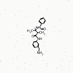 C/C(=N/N(C=O)c1ccccc1)C(C)C(=O)Nc1cccc(CN)c1